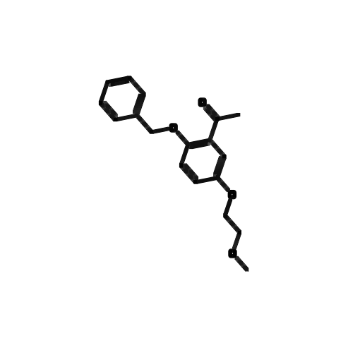 COCCOc1ccc(OCc2ccccc2)c(C(C)=O)c1